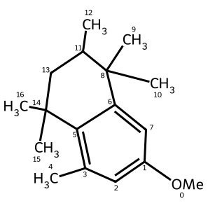 COc1cc(C)c2c(c1)C(C)(C)C(C)CC2(C)C